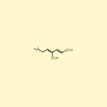 NC/C=C(/C=C/C(=O)O)C(=O)O